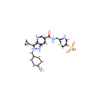 CCS(=O)(=O)c1ccc(CNC(=O)c2cnc3c(C4CC4)n(CC4CCC(C(F)(F)F)CC4)nc3c2)nc1